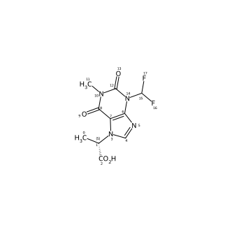 C[C@@H](C(=O)O)n1cnc2c1c(=O)n(C)c(=O)n2C(F)F